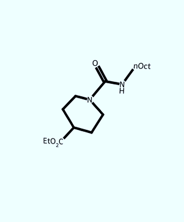 CCCCCCCCNC(=O)N1CCC(C(=O)OCC)CC1